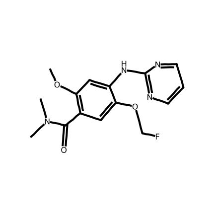 COc1cc(Nc2ncccn2)c(OCF)cc1C(=O)N(C)C